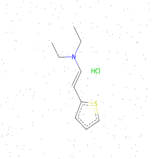 CCN(C=Cc1cccs1)CC.Cl